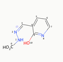 O=C(O)N/N=C\c1cccnc1O